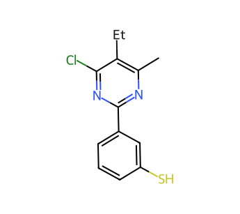 CCc1c(C)nc(-c2cccc(S)c2)nc1Cl